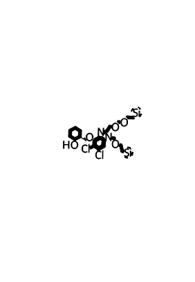 C[Si](C)(C)CCOCOCc1nc2c(OC[C@H]3CCCC[C@H]3O)c(Cl)c(Cl)cc2n1COCC[Si](C)(C)C